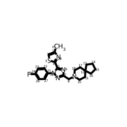 Cc1csc(-c2nc(CN3CCC4(CCCC4)CC3)nn2-c2ccc(F)cc2)n1